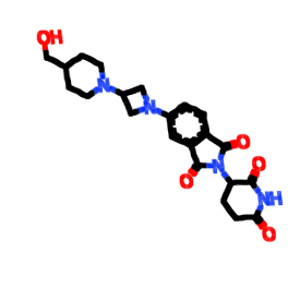 O=C1CCC(N2C(=O)c3ccc(N4CC(N5CCC(CO)CC5)C4)cc3C2=O)C(=O)N1